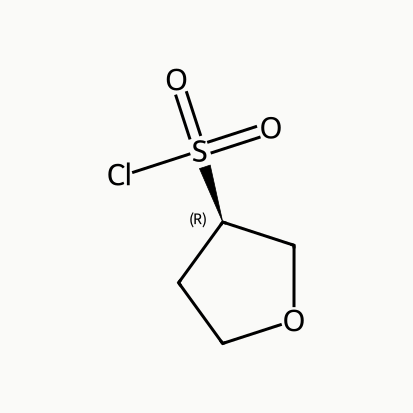 O=S(=O)(Cl)[C@@H]1CCOC1